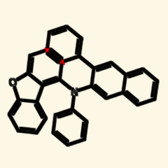 c1ccc(-c2cc3ccccc3cc2N(c2ccccc2)c2cccc3oc4ccccc4c23)cc1